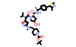 Cc1ncsc1-c1ccc([C@H](C)NC(=O)[C@@H]2C[C@@H](O)CN2C(=O)[C@@H](c2cc(N(C)CC3CCN(C(=O)OC(C)(C)C)CC3)no2)C(C)C)cc1